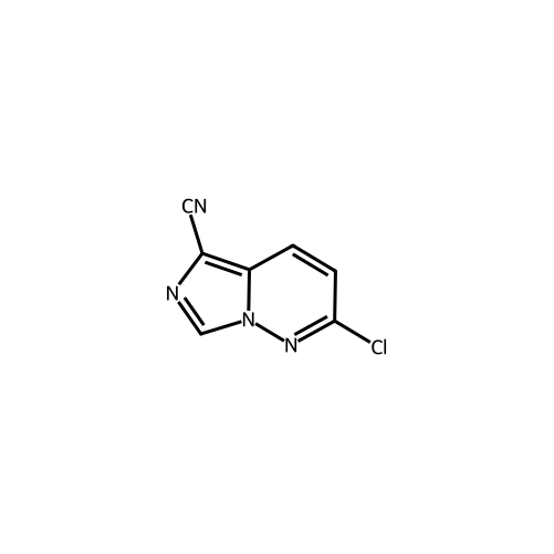 N#Cc1ncn2nc(Cl)ccc12